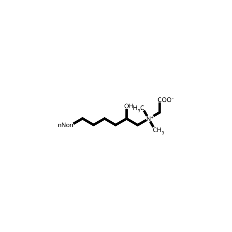 CCCCCCCCCCCCCC(O)C[N+](C)(C)CC(=O)[O-]